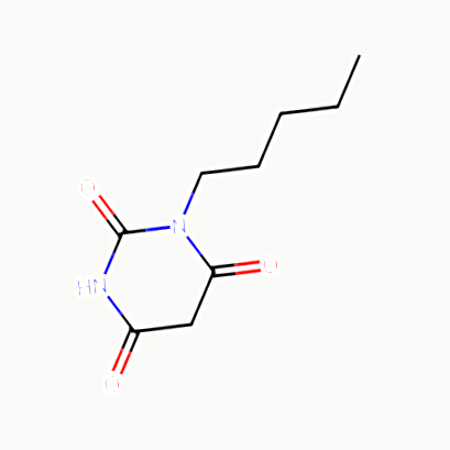 CCCCCN1C(=O)CC(=O)NC1=O